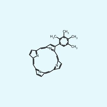 Cc1cc(C2=CC3=CC4=NC(=CC5=NC(=CC6=NC(=CC2=N3)C=C6)C=C5)C=C4)c(C)c(C)c1C